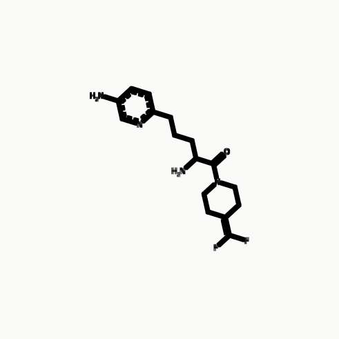 Nc1ccc(CCCC(N)C(=O)N2CCC(=C(F)F)CC2)nc1